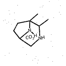 CC1NCC2CCC1(C)N2C(=O)O